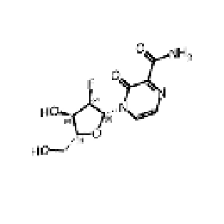 NC(=O)c1nccn([C@@H]2O[C@H](CO)[C@@H](O)[C@H]2F)c1=O